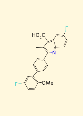 COc1ccc(F)cc1-c1ccc(-c2nc3ccc(F)cc3c(C(=O)O)c2C)cc1